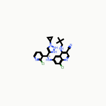 CC(C)(C)CNc1c(C#N)cnc2c(Cl)cc(N[C@H](C3=CN(C4CC4)NN3)c3cccnc3Cl)cc12